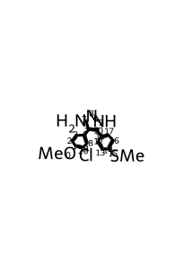 COc1ccc(-c2c(N)n[nH]c2-c2ccc(SC)cc2)cc1Cl